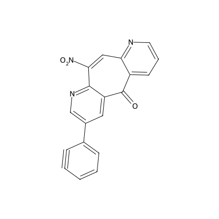 O=c1c2cccnc2cc([N+](=O)[O-])c2ncc(-c3c#cccc3)cc12